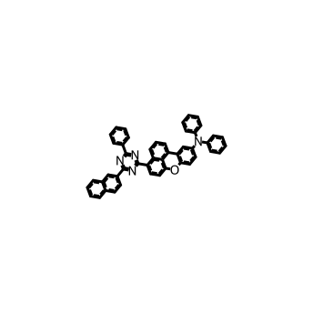 c1ccc(-c2nc(-c3ccc4ccccc4c3)nc(-c3ccc4c5c(cccc35)-c3cc(N(c5ccccc5)c5ccccc5)ccc3O4)n2)cc1